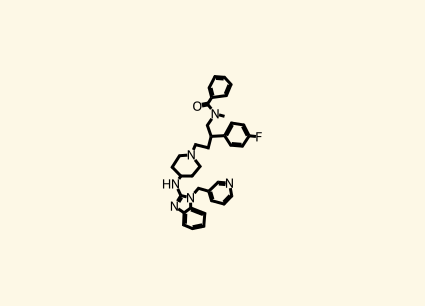 CN(CC(CCN1CCC(Nc2nc3ccccc3n2Cc2cccnc2)CC1)c1ccc(F)cc1)C(=O)c1ccccc1